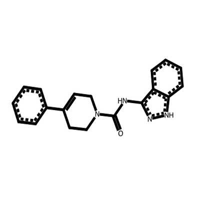 O=C(Nc1n[nH]c2ccccc12)N1CC=C(c2ccccc2)CC1